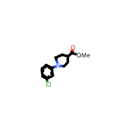 COC(=O)C1CCN(c2cccc(Cl)c2)CC1